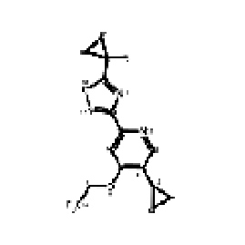 CC1(c2nc(-c3cc(OCC(F)(F)F)c(C4CC4)cn3)no2)CC1